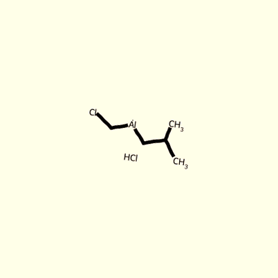 CC(C)[CH2][Al][CH2]Cl.Cl